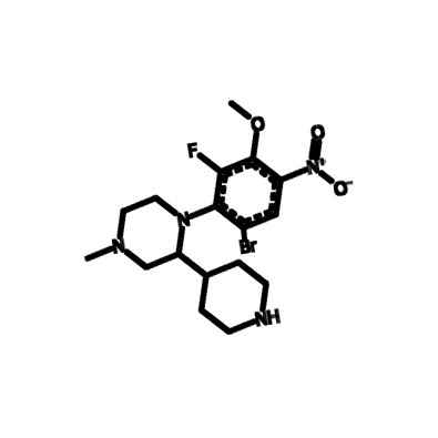 COc1c([N+](=O)[O-])cc(Br)c(N2CCN(C)CC2C2CCNCC2)c1F